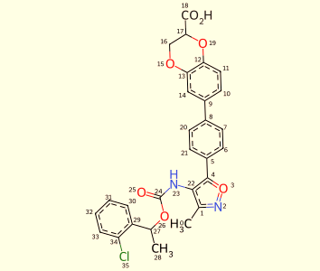 Cc1noc(-c2ccc(-c3ccc4c(c3)OCC(C(=O)O)O4)cc2)c1NC(=O)OC(C)c1ccccc1Cl